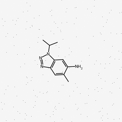 Cc1cc2nnn(C(C)C)c2cc1N